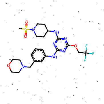 CS(=O)(=O)N1CCC(Nc2nc(Nc3cccc(CN4CCOCC4)c3)nc(OCC(F)(F)F)n2)CC1